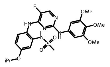 COc1cc(Nc2ncc(F)c(Nc3ccc(OC(C)C)cc3NS(C)(=O)=O)n2)cc(OC)c1OC